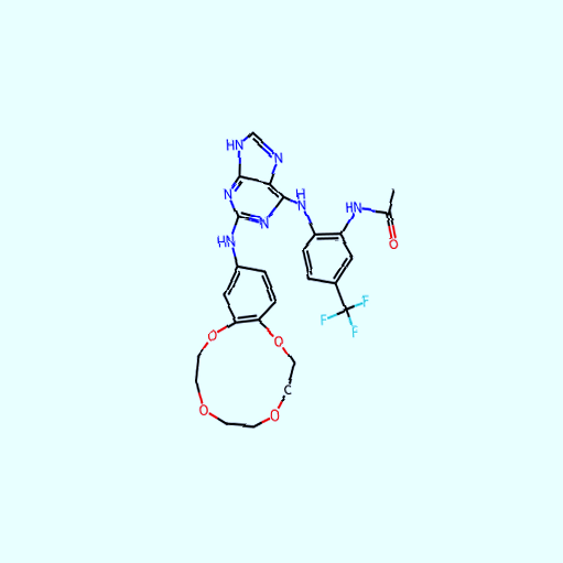 CC(=O)Nc1cc(C(F)(F)F)ccc1Nc1nc(Nc2ccc3c(c2)OCCOCCOCCO3)nc2[nH]cnc12